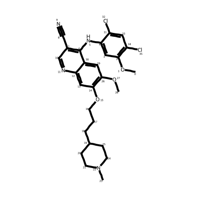 COc1cc(Nc2c(C#N)cnc3cc(OCCCC4CCN(C)CC4)c(OC)cc23)c(Cl)cc1Cl